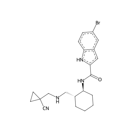 N#CC1(CNC[C@H]2CCCC[C@@H]2NC(=O)c2cc3cc(Br)ccc3[nH]2)CC1